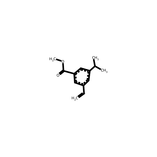 C=[C]c1cc(C(=O)OC)cc(C(C)C)c1